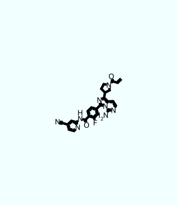 C=CC(=O)N1CCC(c2nc(-c3ccc(C(=O)Nc4cc(C#N)ccn4)c(F)c3)n3c(N)nccc23)C1